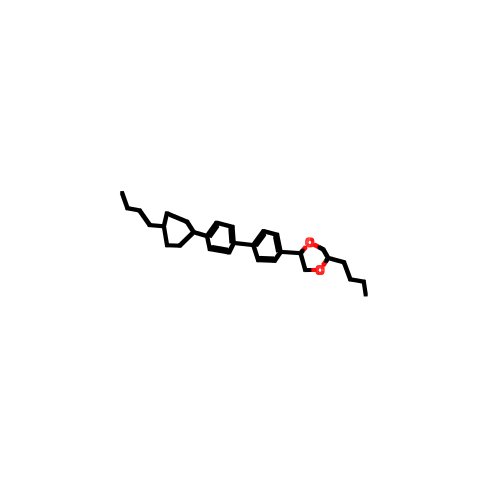 CCCCC1CCC(c2ccc(-c3ccc(C4COC(CCCC)CO4)cc3)cc2)CC1